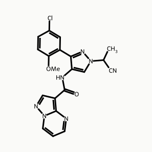 COc1ccc(Cl)cc1-c1nn(C(C)C#N)cc1NC(=O)c1cnn2cccnc12